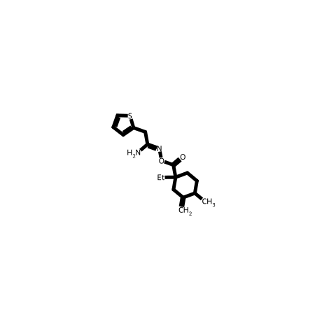 C=C1CC(CC)(C(=O)O/N=C(\N)Cc2cccs2)CCC1C